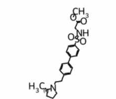 COC(=O)CNS(=O)(=O)c1ccc(-c2ccc(CCN3CCC[C@H]3C)cc2)cc1